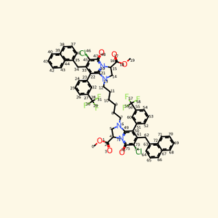 COC(=O)C1CN(CCCCCCN2CC(C(=O)OC)n3c2c(-c2cccc(C(F)(F)F)c2)c(Cc2cccc4ccccc24)c(Cl)c3=O)c2c(-c3cccc(C(F)(F)F)c3)c(Cc3cccc4ccccc34)c(Cl)c(=O)n21